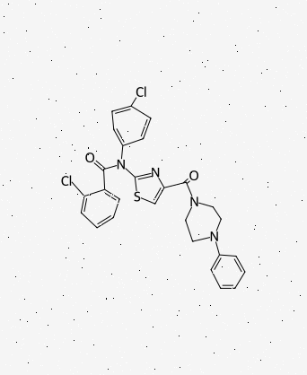 O=C(c1csc(N(C(=O)c2ccccc2Cl)c2ccc(Cl)cc2)n1)N1CCN(c2ccccc2)CC1